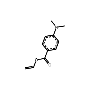 C=COC(=O)c1ccc(N(C)C)cc1